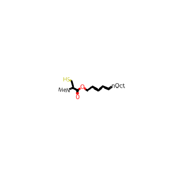 CCCCCCCCCCCCCOC(=O)C(CS)NC